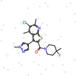 Cc1nc2sc(C(=O)N3CCC(C)(F)CC3)c(-c3cnn(C)c3)c2c(C)c1Cl